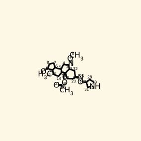 CON=C1CC2C3CCC(=O)C3(C)CCC2C2(COC(C)=O)CCC(=NOC3CCNC3)CC12